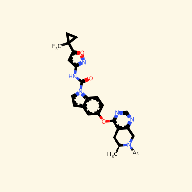 CC(=O)N1Cc2ncnc(Oc3ccc4c(ccn4C(=O)Nc4cc(C5(C(F)(F)F)CC5)on4)c3)c2C[C@@H]1C